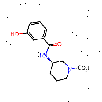 O=C(N[C@@H]1CCCN(C(=O)O)C1)c1cccc(O)c1